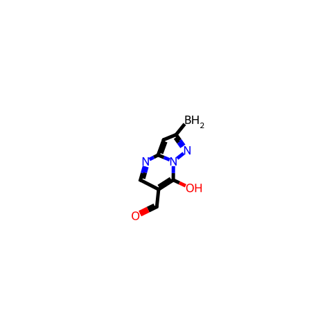 Bc1cc2ncc(C=O)c(O)n2n1